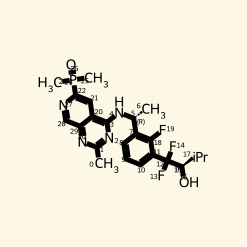 Cc1nc(N[C@H](C)c2cccc(C(F)(F)[C@H](O)C(C)C)c2F)c2cc(P(C)(C)=O)ncc2n1